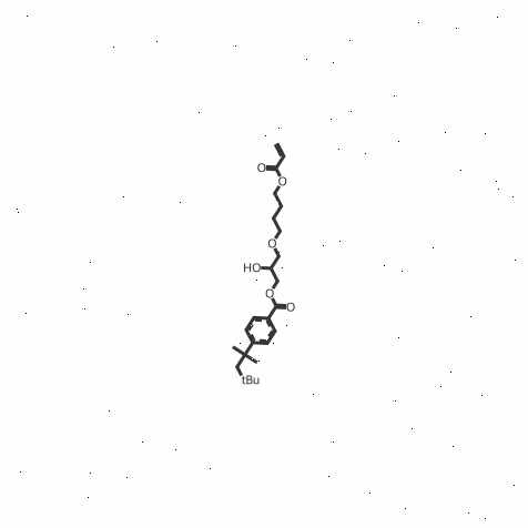 C=CC(=O)OCCCCOCC(O)COC(=O)c1ccc(C(C)(C)CC(C)(C)C)cc1